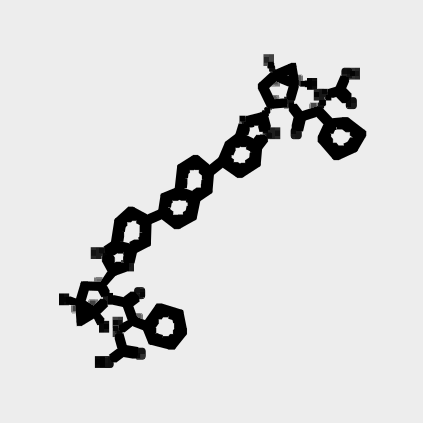 O=C(O)N[C@@H](C(=O)N1[C@@H]2C[C@@H]2C[C@H]1c1nc2cc(-c3ccc4cc(-c5ccc6[nH]c([C@@H]7C[C@H]8C[C@H]8N7C(=O)[C@H](NC(=O)O)c7ccccc7)nc6c5)ccc4c3)ccc2[nH]1)c1ccccc1